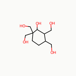 OCC1CCC(CO)(CO)C(O)C1CO